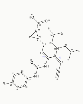 C#C/C=C(\C(=C/C[C@@H]1C[C@@H]1C(=O)O)NC(=O)Nc1ccc(C)cc1)N(CC(C)C)CC(C)C